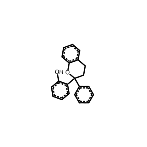 Oc1ccccc1C1(c2ccccc2)CCc2ccccc2O1